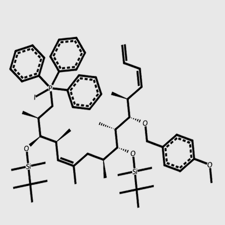 C=C/C=C\[C@H](C)[C@H](OCc1ccc(OC)cc1)[C@@H](C)[C@H](O[Si](C)(C)C(C)(C)C)[C@@H](C)C/C(C)=C\[C@H](C)[C@@H](O[Si](C)(C)C(C)(C)C)[C@@H](C)CP(I)(c1ccccc1)(c1ccccc1)c1ccccc1